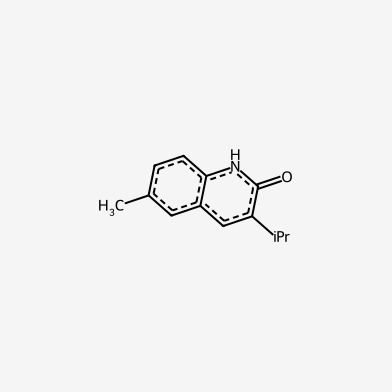 Cc1ccc2[nH]c(=O)c(C(C)C)cc2c1